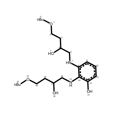 CCCCOCCC(O)CNc1cccc(O)c1NCC(O)CCOCCCC